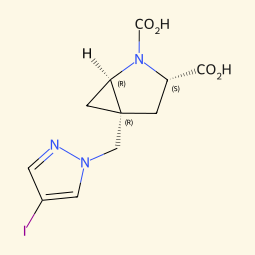 O=C(O)[C@@H]1C[C@@]2(Cn3cc(I)cn3)C[C@H]2N1C(=O)O